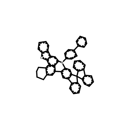 c1ccc(-c2ccc(N(c3ccc4oc5ccccc5c4c3)c3cc4c(cc3-c3ccc5c(c3)CCCC5)-c3ccccc3C43c4ccccc4-c4ccccc43)cc2)cc1